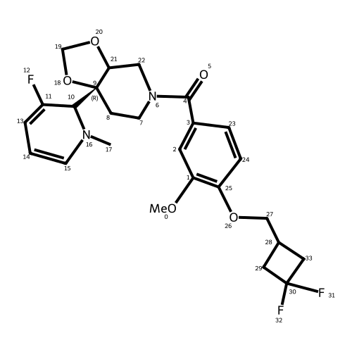 COc1cc(C(=O)N2CC[C@]3(C4C(F)=CC=CN4C)OCOC3C2)ccc1OCC1CC(F)(F)C1